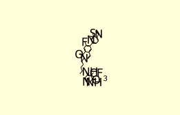 CC(CCCn1ccc2cc(-c3ccc4ncsc4n3)c(F)cc2c1=O)Nc1cn[nH]c(=O)c1C(F)(F)F